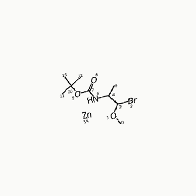 COC(Br)C(C)NC(=O)OC(C)(C)C.[Zn]